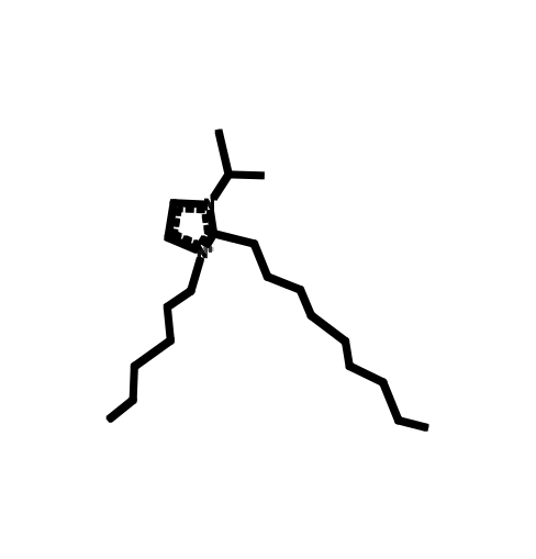 CCCCCCCCCc1n(C(C)C)cc[n+]1CCCCCC